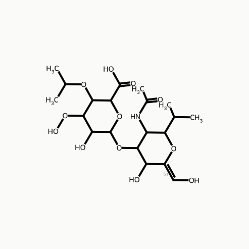 CC(=O)NC1C(C(C)C)O/C(=C\O)C(O)C1OC1OC(C(=O)O)C(OC(C)C)C(OO)C1O